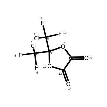 O=C1OC(C(F)(F)Cl)(C(F)(F)Cl)OC1=O